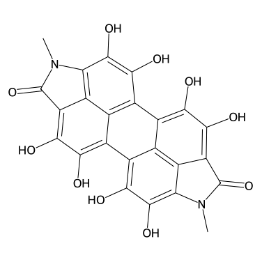 CN1C(=O)c2c(O)c(O)c3c4c(O)c(O)c5c6c(c(O)c(O)c(c7c(O)c(O)c1c2c37)c64)C(=O)N5C